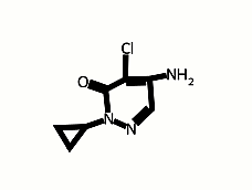 Nc1cnn(C2CC2)c(=O)c1Cl